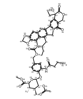 CCCCc1c2c(nc3cc4c(c(NC(=O)OCc5ccc(O[C@@H]6O[C@H](C(=O)OC)[C@@H](C)[C@H](C)[C@H]6OC(C)=O)c(NC(=O)CCN)c5)c13)OCO4)-c1cc3c(c(=O)n1C2)COC(=O)[C@]3(O)CC